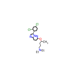 CCN(CC)CCCC(C)Oc1ccc2ncc(-c3ccc(Cl)cc3Cl)n2n1